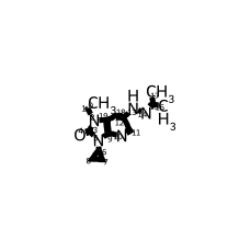 CCn1c(=O)n(C2CC2)c2ncc(NN=C(C)C)cc21